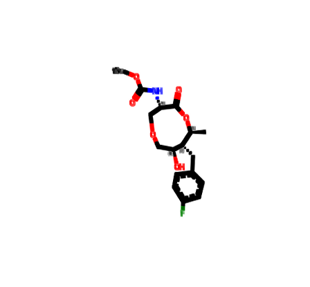 C[C@@H]1OC(=O)[C@@H](NC(=O)OC(C)(C)C)COC[C@H](O)[C@H]1Cc1ccc(F)cc1